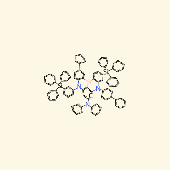 c1ccc(-c2ccc(N3c4cc([Si](c5ccccc5)(c5ccccc5)c5ccccc5)ccc4B4c5cc(-c6ccccc6)ccc5N(c5cccc([Si](c6ccccc6)(c6ccccc6)c6ccccc6)c5)c5cc(N(c6ccccc6)c6ccccc6)cc3c54)cc2)cc1